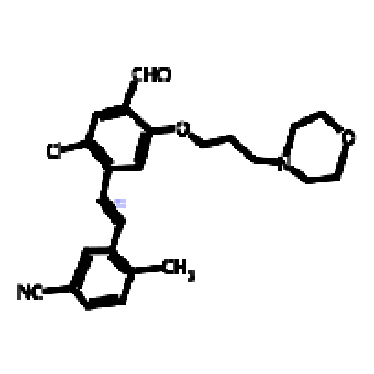 Cc1ccc(C#N)cc1/C=C/c1cc(OCCCN2CCOCC2)c(C=O)cc1Cl